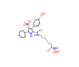 COc1ccc(-c2c(C(=O)NCCCCCC(=O)NO)[nH]c(-c3ccccc3)c2[N+](=O)[O-])cc1